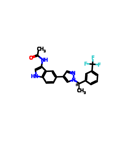 CC(=O)Nc1c[nH]c2ccc(-c3cnn([C@@H](C)c4cccc(C(F)(F)F)c4)c3)cc12